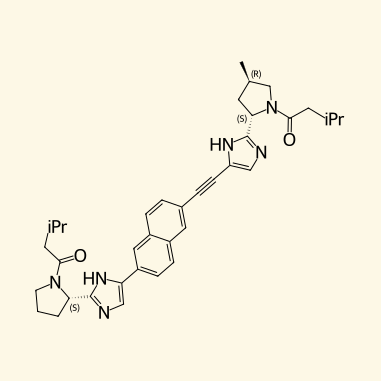 CC(C)CC(=O)N1C[C@H](C)C[C@H]1c1ncc(C#Cc2ccc3cc(-c4cnc([C@@H]5CCCN5C(=O)CC(C)C)[nH]4)ccc3c2)[nH]1